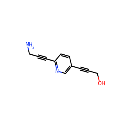 NCC#Cc1ccc(C#CCO)cn1